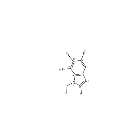 CCn1c(C)nc2cc(F)c(I)c(F)c21